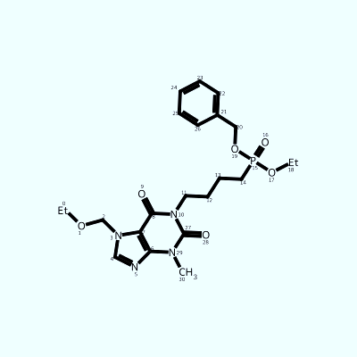 CCOCn1cnc2c1c(=O)n(CCCCP(=O)(OCC)OCc1ccccc1)c(=O)n2C